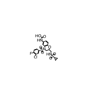 O=C(O)Nc1ccc2c(c1)N(S(=O)(=O)c1ccc(F)c(Cl)c1)CC(CNS(=O)(=O)C1CC1)O2